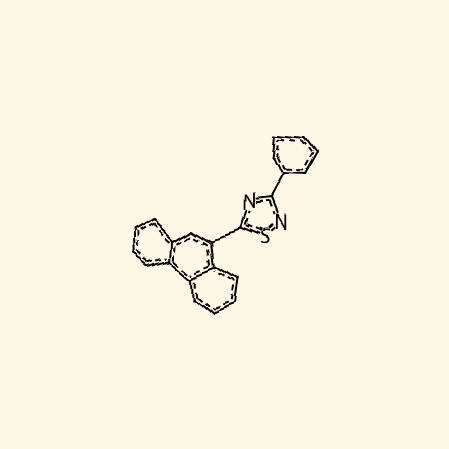 c1ccc(-c2nsc(-c3cc4ccccc4c4ccccc34)n2)cc1